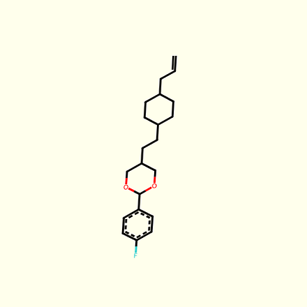 C=CCC1CCC(CCC2COC(c3ccc(F)cc3)OC2)CC1